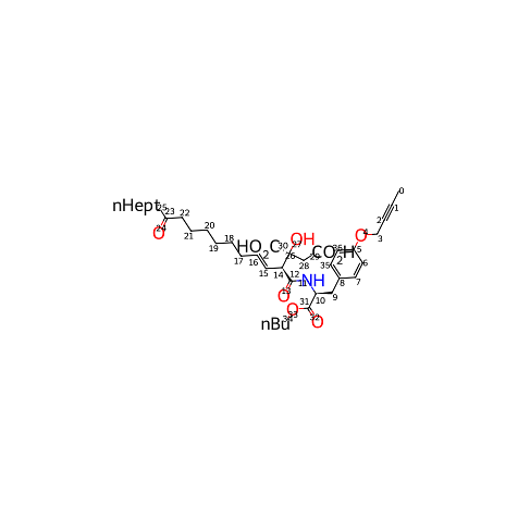 CC#CCOc1ccc(C[C@H](NC(=O)[C@@H](/C=C/CCCCCCC(=O)CCCCCCC)[C@@](O)(CC(=O)O)C(=O)O)C(=O)OCCCC)cc1